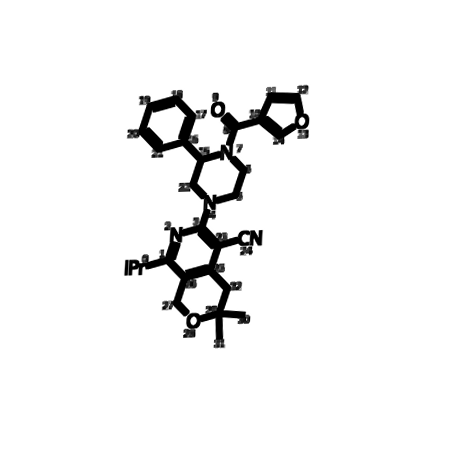 CC(C)c1nc(N2CCN(C(=O)c3ccoc3)C(c3ccccc3)C2)c(C#N)c2c1COC(C)(C)C2